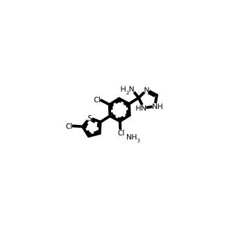 N.NC1(c2cc(Cl)c(-c3ccc(Cl)s3)c(Cl)c2)N=CNN1